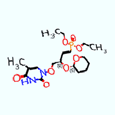 CCOP(=O)(C=C[C@H](COn1cc(C)c(=O)[nH]c1=O)O[C@H]1CCCCO1)OCC